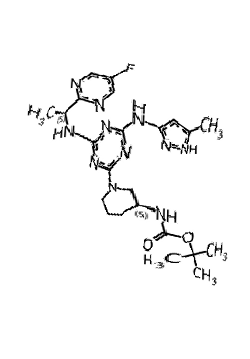 Cc1cc(Nc2nc(N[C@@H](C)c3ncc(F)cn3)nc(N3CCC[C@H](NC(=O)OC(C)(C)C)C3)n2)n[nH]1